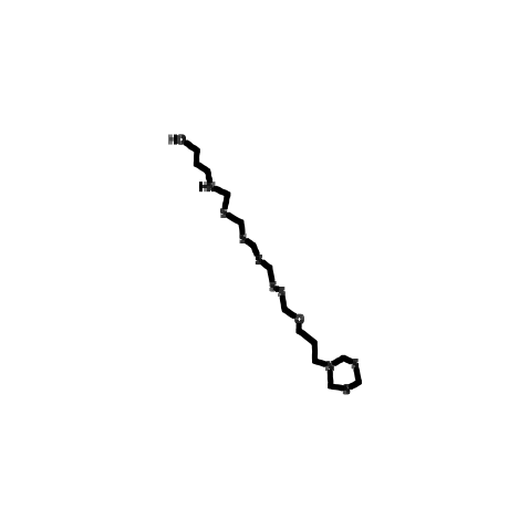 OCCCNCSCSCSCSSCOCCCN1CSCSC1